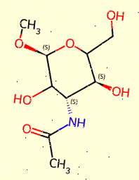 CO[C@H]1OC(CO)[C@@H](O)[C@H](NC(C)=O)C1O